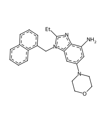 CCc1nc2c(N)cc(N3CCOCC3)cc2n1Cc1cccc2ccccc12